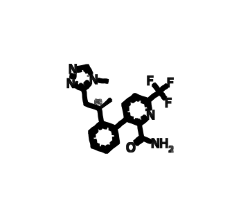 C[C@H](Cc1nncn1C)c1ccccc1-c1ccc(C(F)(F)F)nc1C(N)=O